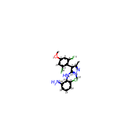 COc1cc(F)c(-c2c(C)nn(C)c2Nc2c(N)cccc2Cl)c(F)c1